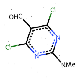 CNc1nc(Cl)c(C=O)c(Cl)n1